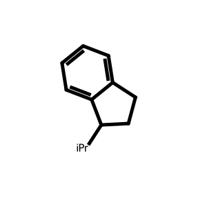 CC(C)C1CCc2ccccc21